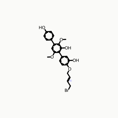 COc1cc(-c2ccc(O)cc2)c(OC)c(O)c1-c1ccc(OC/C=C/CBr)c(O)c1